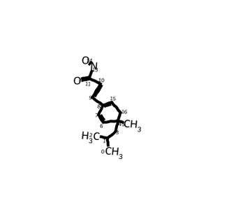 CC(C)CC1(C)C=CC(/C=C/C(=O)N=O)=CC1